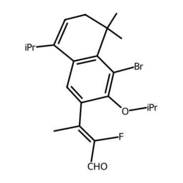 CC(=C(F)C=O)c1cc2c(c(Br)c1OC(C)C)C(C)(C)CC=C2C(C)C